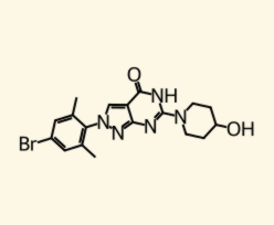 Cc1cc(Br)cc(C)c1-n1cc2c(=O)[nH]c(N3CCC(O)CC3)nc2n1